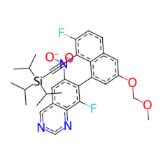 COCOc1cc(-c2c([N+](=O)[O-])cc3cncnc3c2F)c2c(C#C[Si](C(C)C)(C(C)C)C(C)C)c(F)ccc2c1